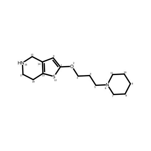 c1c(OCCCN2CCCCC2)sc2c1CNCC2